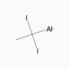 C[C]([Al])(I)I